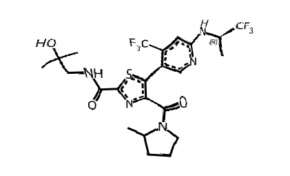 CC1CCCN1C(=O)c1nc(C(=O)NCC(C)(C)O)sc1-c1cnc(N[C@H](C)C(F)(F)F)cc1C(F)(F)F